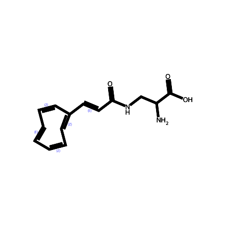 NC(CNC(=O)/C=C/C1=C\C=C/C=C/C=C\1)C(=O)O